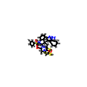 CN1C(=O)C23CC4(c5c[nH]c6ccccc56)c5ccccc5N(S(=O)(=O)c5ccccc5)[C@@H]4N2C(=O)[C@@]1(C)SC(=S)S3